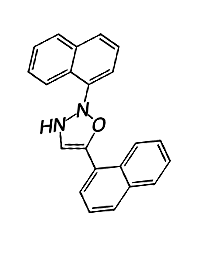 C1=C(c2cccc3ccccc23)ON(c2cccc3ccccc23)N1